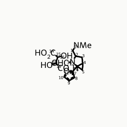 CNCC1CC2CC2(c2ccco2)N1C=O.O=C(O)C(O)C(O)C(=O)O